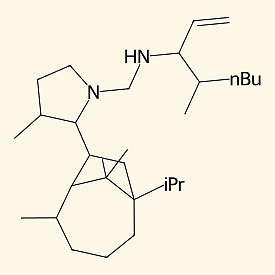 C=CC(NCN1CCC(C)C1C1CC2(C(C)C)CCCC(C)C1C2(C)C)C(C)CCCC